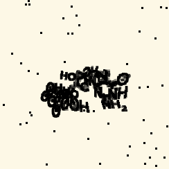 C[C@]1(O)[C@@H](O)[C@@H](COP(=O)(O)OP(=O)(O)OP(=O)(O)O)O[C@H]1n1cnc2c(=O)[nH]c(N)nc21